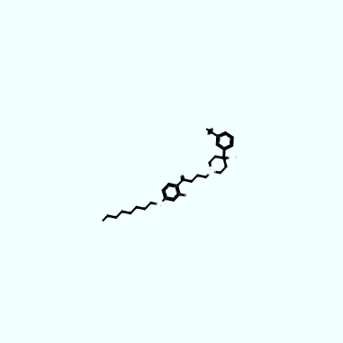 CCCCCCCCNc1ccc(C(=O)CCCN2CCC(O)(c3cccc(C(F)(F)F)c3)CC2)c(F)c1